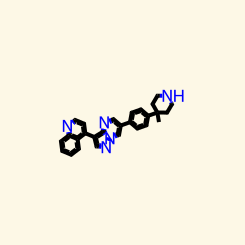 CC1(c2ccc(-c3cnc4c(-c5ccnc6ccccc56)cnn4c3)cc2)CCNCC1